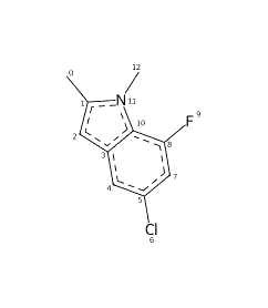 Cc1cc2cc(Cl)cc(F)c2n1C